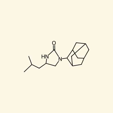 CC(C)CC1CN(C2C3CC4CC(C3)CC2C4)C(=O)N1